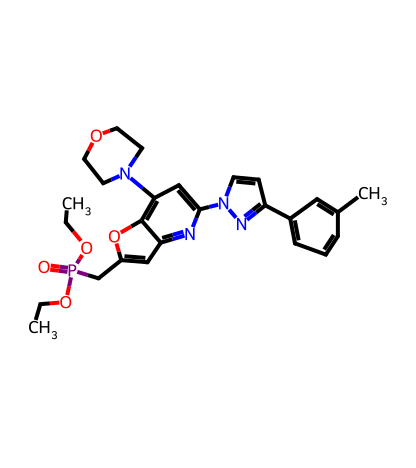 CCOP(=O)(Cc1cc2nc(-n3ccc(-c4cccc(C)c4)n3)cc(N3CCOCC3)c2o1)OCC